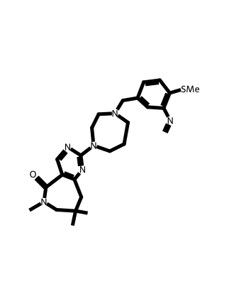 C=Nc1cc(CN2CCCN(c3ncc4c(n3)CC(C)(C)CN(C)C4=O)CC2)ccc1SC